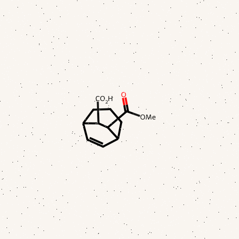 COC(=O)C1C2C=CC(CCC2)C1C(=O)O